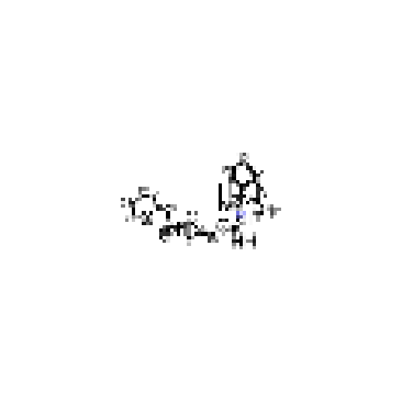 N=C(/C=C(\N)n1c(C(F)F)nc2ccccc21)OCC1CN(C(=O)CC2CCCCO2)C1